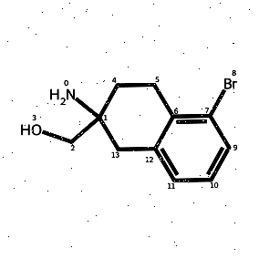 NC1(CO)CCc2c(Br)cccc2C1